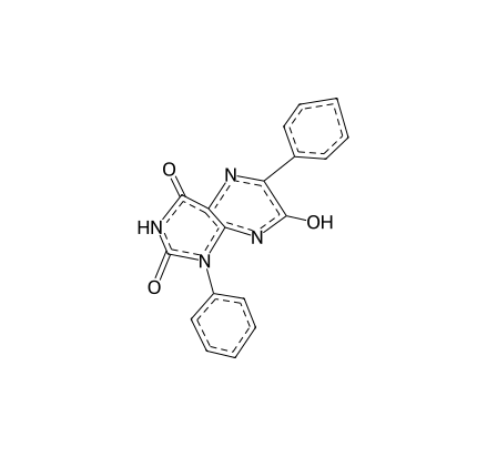 O=c1[nH]c(=O)n(-c2ccccc2)c2nc(O)c(-c3ccccc3)nc12